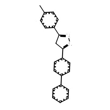 Cc1ccc(C2=NN=C(c3ccc(-c4ccccc4)cc3)C2)cc1